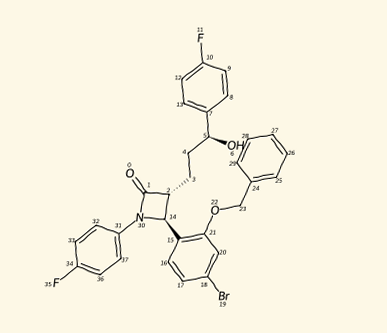 O=C1[C@H](CC[C@H](O)c2ccc(F)cc2)[C@@H](c2ccc(Br)cc2OCc2ccccc2)N1c1ccc(F)cc1